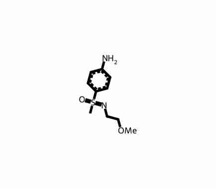 COCCN=S(C)(=O)c1ccc(N)cc1